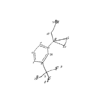 FC(F)(F)c1cccc(C2(CBr)CC2)c1